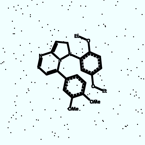 CCOc1ccc(OCC)c(N2CC=C3N=CC=C(c4ccc(OC)c(OC)c4)N32)c1